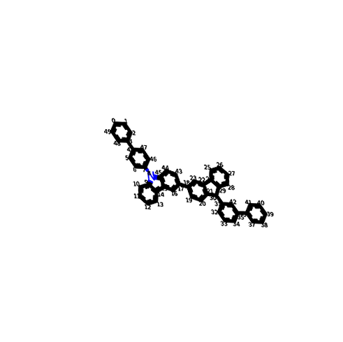 c1ccc(-c2ccc(-n3c4ccccc4c4cc(-c5ccc6c(c5)-c5ccccc5C6c5cccc(-c6ccccc6)c5)ccc43)cc2)cc1